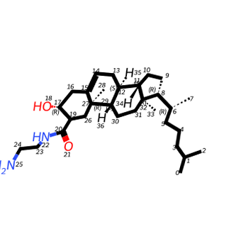 CC(C)CCC[C@@H](C)[C@H]1CC[C@H]2[C@@H]3CC=C4C[C@@H](O)C(C(=O)NCCN)C[C@]4(C)[C@H]3CC[C@]12C